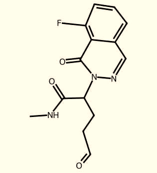 CNC(=O)C(CCC=O)n1ncc2cccc(F)c2c1=O